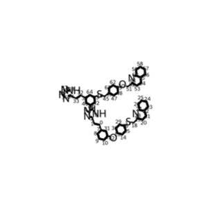 C(=C\c1nnn[nH]1)/c1cccc(Oc2ccc(SCc3ccc4ccccc4n3)cc2)c1.C(=C\c1nnn[nH]1)/c1cccc(SCc2ccc(OCc3ccc4ccccc4n3)cc2)c1